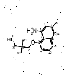 Cc1cc(N)c2c(OCC(C)(C)CO)cccc2n1